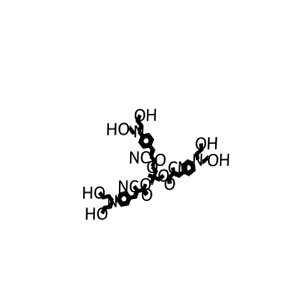 CC(COC(=O)/C(C#N)=C/c1ccc(N(CCO)CCO)cc1)(COC(=O)/C(C#N)=C/c1ccc(N(CCO)CCO)cc1)COC(=O)/C(C#N)=C/c1ccc(N(CCO)CCO)cc1